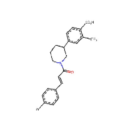 Cc1cc(C2CCCN(C(=O)/C=C/c3ccc(C(C)C)cc3)C2)ccc1C(=O)O